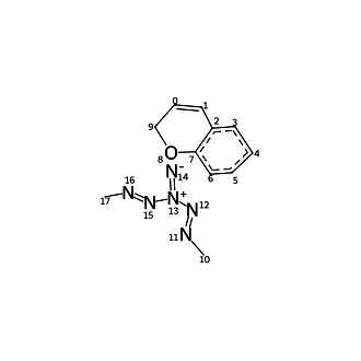 C1=Cc2ccccc2OC1.CN=N[N+](=[N-])N=NC